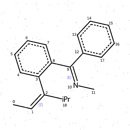 C/C=C(\c1ccccc1/C(=N/C)c1ccccc1)C(C)C